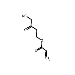 C=CC(=O)OCCC(=O)CC#N